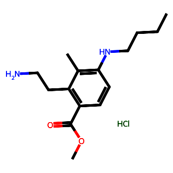 CCCCNc1ccc(C(=O)OC)c(CCN)c1C.Cl